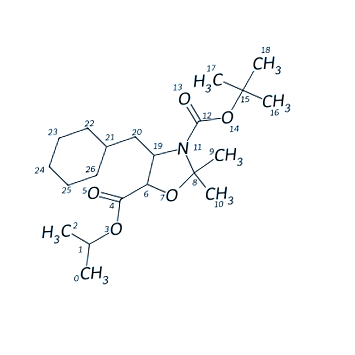 CC(C)OC(=O)C1OC(C)(C)N(C(=O)OC(C)(C)C)C1CC1CCCCC1